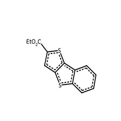 CCOC(=O)c1cc2sc3ccccc3c2s1